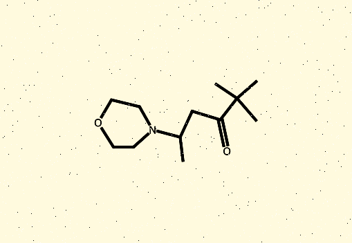 CC(CC(=O)C(C)(C)C)N1CCOCC1